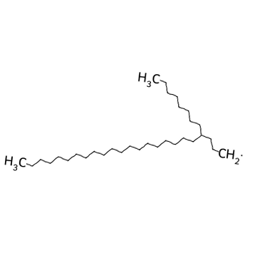 [CH2]CCC(CCCCCCCC)CCCCCCCCCCCCCCCCCCCC